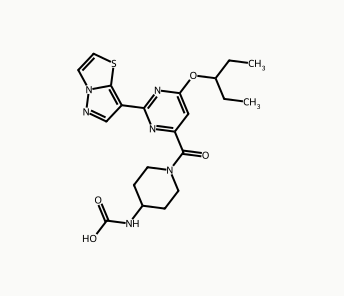 CCC(CC)Oc1cc(C(=O)N2CCC(NC(=O)O)CC2)nc(-c2cnn3ccsc23)n1